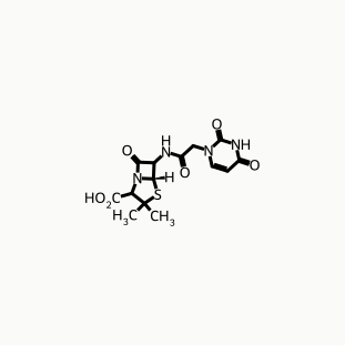 CC1(C)S[C@H]2C(NC(=O)Cn3ccc(=O)[nH]c3=O)C(=O)N2C1C(=O)O